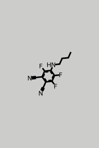 CCCCNc1c(F)c(F)c(C#N)c(C#N)c1F